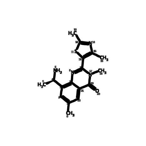 Cc1cc([C@@H](C)N)c2nc(-c3sc(C)nc3C)n(C)c(=O)c2c1